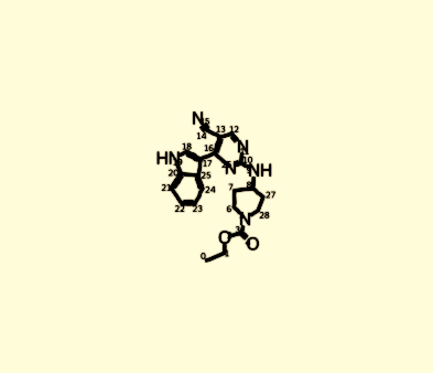 CCOC(=O)N1CCC(Nc2ncc(C#N)c(-c3c[nH]c4ccccc34)n2)CC1